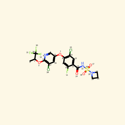 CC(Oc1ncc(Oc2cc(F)c(C(=O)NS(=O)(=O)N3CCC3)cc2Cl)cc1Cl)C(F)(F)F